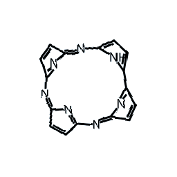 C1=CC2=NC1=NC1=NC(=Nc3ccc([nH]3)C3=NC(=N2)C=C3)C=C1